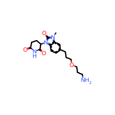 Cn1c(=O)n(C2CCC(=O)NC2=O)c2ccc(CCCOCCCN)cc21